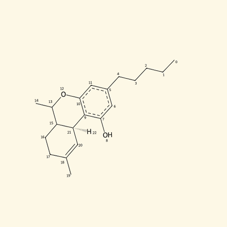 CCCCCc1cc(O)c2c(c1)OC(C)C1CCC(C)=C[C@H]21